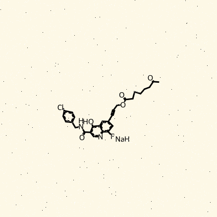 CC(=O)CCCCCC(=O)OCC#Cc1cc(F)c2ncc(C(=O)NCc3ccc(Cl)cc3)c(O)c2c1.[NaH]